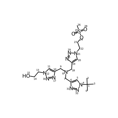 CC(C)(C)n1cc(CN(Cc2cn(CCO)nn2)Cc2cn(CCOS(C)(=O)=O)nn2)nn1